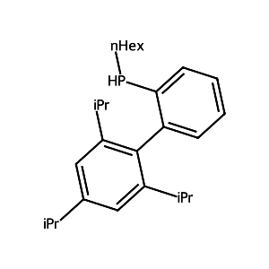 CCCCCCPc1ccccc1-c1c(C(C)C)cc(C(C)C)cc1C(C)C